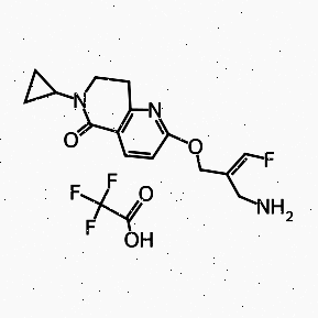 NCC(=CF)COc1ccc2c(n1)CCN(C1CC1)C2=O.O=C(O)C(F)(F)F